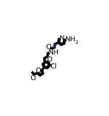 CC(=O)c1ccc(-c2cc(Cl)c3c(c2)CC(CNC(=O)/C=C/c2ccc(N)nc2)O3)o1